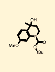 COc1ccc2c(c1)N(C(=O)OC(C)(C)C)CCC2(C)O